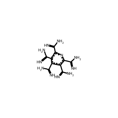 N=C(N)c1nc(C(=N)N)c(C(=N)N)c(C(=N)N)c1C(=N)N